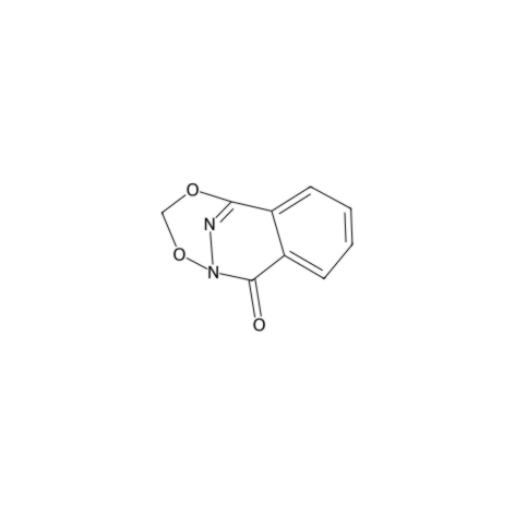 O=c1c2ccccc2c2nn1OCO2